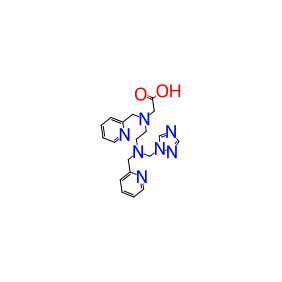 O=C(O)CN(CCN(Cc1ccccn1)Cn1cncn1)Cc1ccccn1